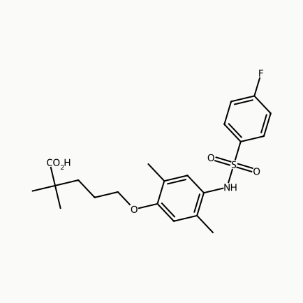 Cc1cc(OCCCC(C)(C)C(=O)O)c(C)cc1NS(=O)(=O)c1ccc(F)cc1